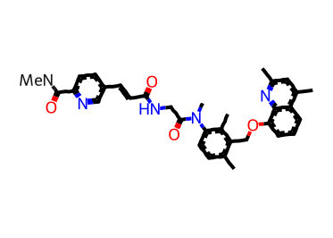 CNC(=O)c1ccc(C=CC(=O)NCC(=O)N(C)c2ccc(C)c(COc3cccc4c(C)cc(C)nc34)c2C)cn1